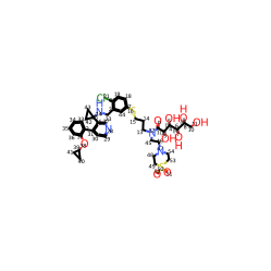 O=C([C@@H](O)[C@@H](O)[C@H](O)[C@@H](O)CO)N(CCCSc1ccc(Cl)c(CNC2(c3cnccc3-c3ccccc3OC3CC3)CC2)c1)CCN1CCS(=O)(=O)CC1